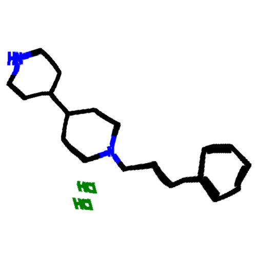 Cl.Cl.c1ccc(CCCN2CCC(C3CCNCC3)CC2)cc1